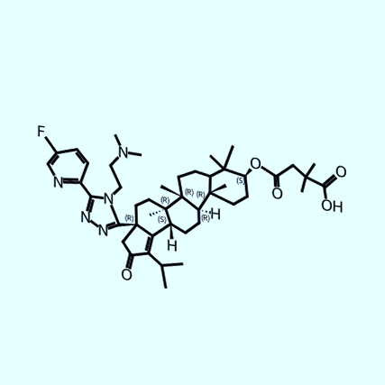 CC(C)C1=C2[C@H]3CC[C@@H]4[C@@]5(C)CC[C@H](OC(=O)CC(C)(C)C(=O)O)C(C)(C)C5CC[C@@]4(C)[C@]3(C)CC[C@@]2(c2nnc(-c3ccc(F)cn3)n2CCN(C)C)CC1=O